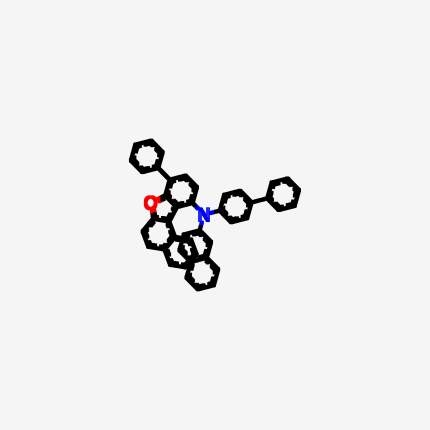 c1ccc(-c2ccc(N(c3ccc4ccccc4c3)c3ccc(-c4ccccc4)c4oc5ccc6ccccc6c5c34)cc2)cc1